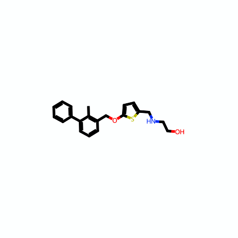 Cc1c(COc2ccc(CNCCO)s2)cccc1-c1ccccc1